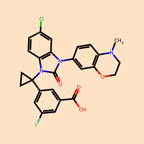 CN1CCOc2cc(-n3c(=O)n(C4(c5cc(F)cc(C(=O)O)c5)CC4)c4ccc(Cl)cc43)ccc21